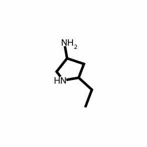 CCC1CC(N)CN1